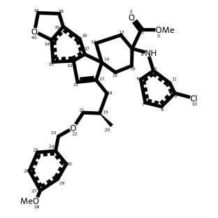 COC(=O)C1(Nc2cccc(Cl)c2)CCC2(CC1)C(C[C@@H](C)COCc1ccc(OC)cc1)=Cc1cc3c(cc12)CCO3